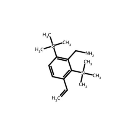 C=Cc1ccc([Si](C)(C)C)c(CN)c1[Si](C)(C)C